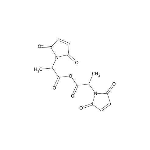 CC(C(=O)OC(=O)C(C)N1C(=O)C=CC1=O)N1C(=O)C=CC1=O